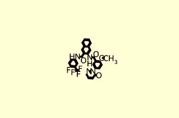 COc1ccc(-n2ncccc2=O)cc1C(=O)Nc1cc2ccccc2cc1C(=O)Nc1ccc(F)c(C(F)(F)F)c1